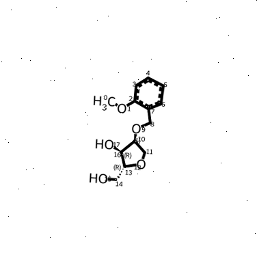 COc1ccccc1CO[C@H]1CO[C@H](CO)[C@H]1O